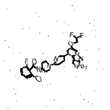 O=C(NC1CCN(c2ccc(-c3cc(OCC(F)F)cn4nc5[nH]ncc5c34)cn2)CC1)c1c(F)cccc1Cl